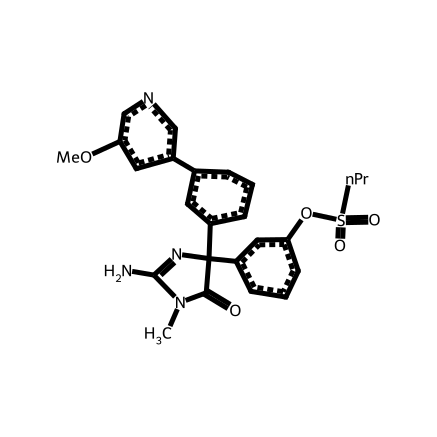 CCCS(=O)(=O)Oc1cccc(C2(c3cccc(-c4cncc(OC)c4)c3)N=C(N)N(C)C2=O)c1